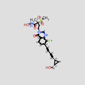 C[C@@](CCn1cnc2c(F)c(C#CC#C[C@H]3C[C@@H]3CO)ccc2c1=O)(C(=O)NO)S(C)(=O)=O